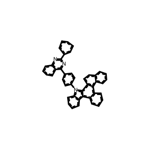 c1ccc(-c2nc(-c3ccc(-n4c5ccccc5c5c6ccccc6c6c7ccccc7ccc6c54)cc3)c3ccccc3n2)cc1